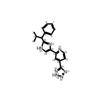 CC(C)C(c1ccccc1)c1nc(-c2cc(-c3nn[nH]n3)ccn2)c[nH]1